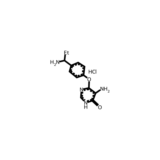 CCC(N)c1ccc(Oc2nc[nH]c(=O)c2N)cc1.Cl